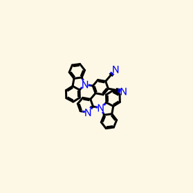 N#Cc1cc(-c2cccnc2-n2c3ccccc3c3ccccc32)c(-n2c3ccccc3c3ccccc32)cc1C#N